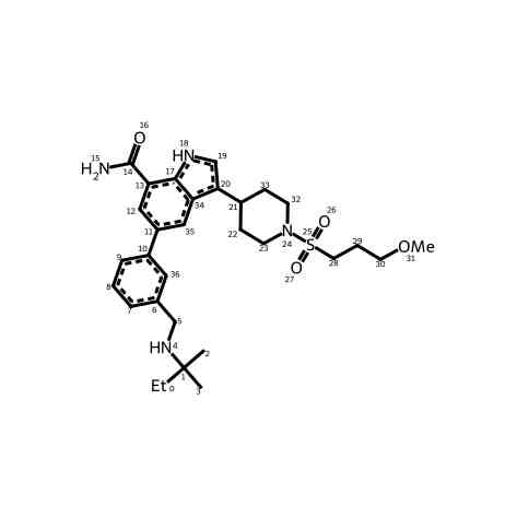 CCC(C)(C)NCc1cccc(-c2cc(C(N)=O)c3[nH]cc(C4CCN(S(=O)(=O)CCCOC)CC4)c3c2)c1